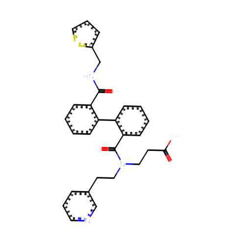 O=C(O)CCN(CCc1cccnc1)C(=O)c1ccccc1-c1ccccc1C(=O)NCc1cccs1